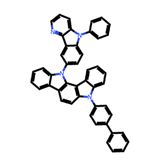 c1ccc(-c2ccc(-n3c4ccccc4c4c3ccc3c5ccccc5n(-c5ccc6c(c5)c5ncccc5n6-c5ccccc5)c34)cc2)cc1